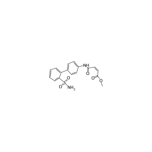 COC(=O)/C=C\C(=O)Nc1ccc(-c2ccccc2S(N)(=O)=O)cc1